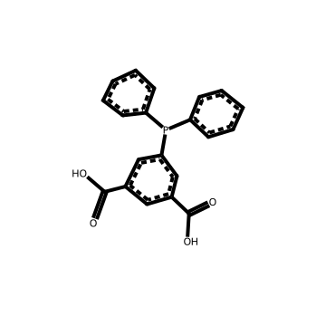 O=C(O)c1cc(C(=O)O)cc(P(c2ccccc2)c2ccccc2)c1